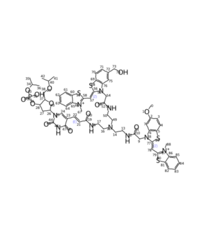 COc1ccc2c(c1)N(CC(=O)NCCN(CCNC(=O)/C=C/c1cn(C3CC(OP(=O)(O)OC(C)C)C(COC(C)C)O3)c(=O)[nH]c1=O)CCNC(=O)CN1/C(=C/c3sc4ccccc4[n+]3C)Sc3ccc(CO)cc31)/C(=C/c1sc3ccccc3[n+]1C)S2